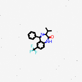 CC(C)C1N=C(c2ccccc2)c2cc(C(F)(F)F)ccc2NC1=O